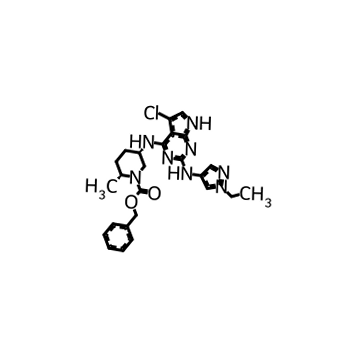 CCn1cc(Nc2nc(N[C@@H]3CC[C@H](C)N(C(=O)OCc4ccccc4)C3)c3c(Cl)c[nH]c3n2)cn1